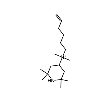 C=CCCCC[N+](C)(C)C1CC(C)(C)NC(C)(C)C1